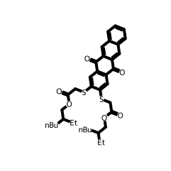 CCCCC(CC)COC(=O)CSc1cc2c(cc1SCC(=O)OCC(CC)CCCC)C(=O)c1cc3ccccc3cc1C2=O